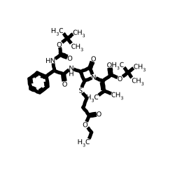 CCOC(=O)CCSC1C(NC(=O)C(NC(=O)OC(C)(C)C)c2ccccc2)C(=O)N1C(C(=O)OC(C)(C)C)=C(C)C